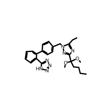 CCCCC(OC)(OC)c1nc(CC)n(Cc2ccc(-c3ccccc3-c3nnn[nH]3)cc2)n1